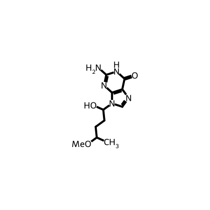 COC(C)CCC(O)n1cnc2c(=O)[nH]c(N)nc21